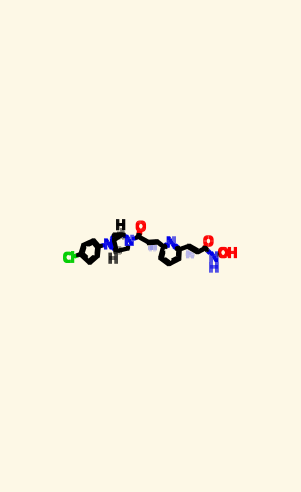 O=C(/C=C/c1cccc(/C=C/C(=O)N2C[C@@H]3C[C@H]2CN3c2ccc(Cl)cc2)n1)NO